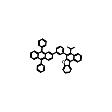 CC(C)c1c(-c2cccc(-c3ccc4c(-c5ccccc5)c5ccccc5c(-c5ccccc5)c4c3)c2)c2oc3ccccc3c2c2ccccc12